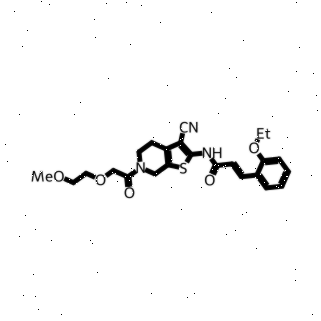 CCOc1ccccc1/C=C/C(=O)Nc1sc2c(c1C#N)CCN(C(=O)COCCOC)C2